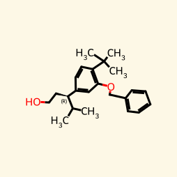 CC(C)[C@@H](CCO)c1ccc(C(C)(C)C)c(OCc2ccccc2)c1